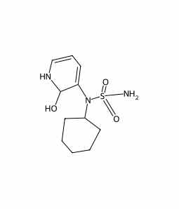 NS(=O)(=O)N(C1=CC=CNC1O)C1CCCCC1